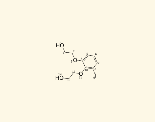 OCCOc1cccc(I)c1OCCO